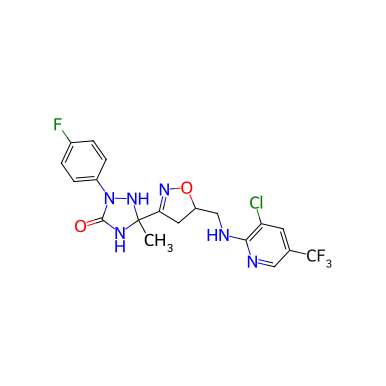 CC1(C2=NOC(CNc3ncc(C(F)(F)F)cc3Cl)C2)NC(=O)N(c2ccc(F)cc2)N1